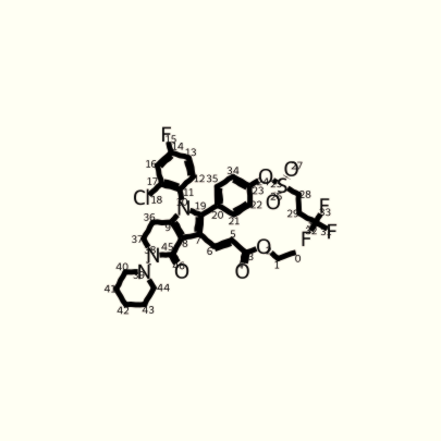 CCOC(=O)C=Cc1c2c(n(-c3ccc(F)cc3Cl)c1-c1ccc(OS(=O)(=O)CCC(F)(F)F)cc1)CCN(N1CCCCC1)C2=O